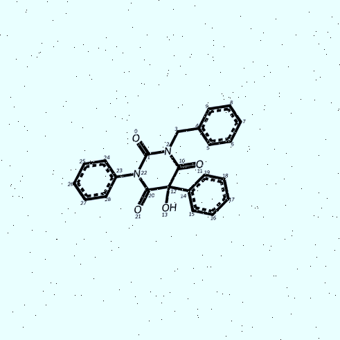 O=C1N(Cc2ccccc2)C(=O)C(O)(c2ccccc2)C(=O)N1c1ccccc1